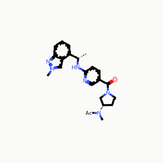 CC(=O)N(C)[C@H]1CCN(C(=O)c2ccc(N[C@@H](C)c3cccc4nn(C)cc34)nc2)C1